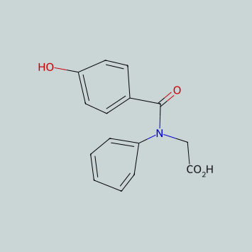 O=C(O)CN(C(=O)c1ccc(O)cc1)c1ccccc1